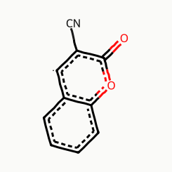 N#Cc1[c]c2ccccc2oc1=O